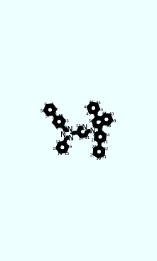 c1ccc(-c2ccc(-c3nc(-c4ccccc4)nc(-c4ccc(-n5c6cc(-c7ccccc7)ccc6c6c7ccccc7c(-c7ccccc7)cc65)nc4)n3)cc2)cc1